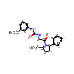 CCOC(=O)c1cccc(NC(=O)NCC(=O)N2C(c3ccccc3)CC[C@H]2C(=O)O)c1